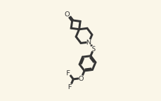 O=C1CC2(CCN(Sc3ccc(OC(F)F)cc3)CC2)C1